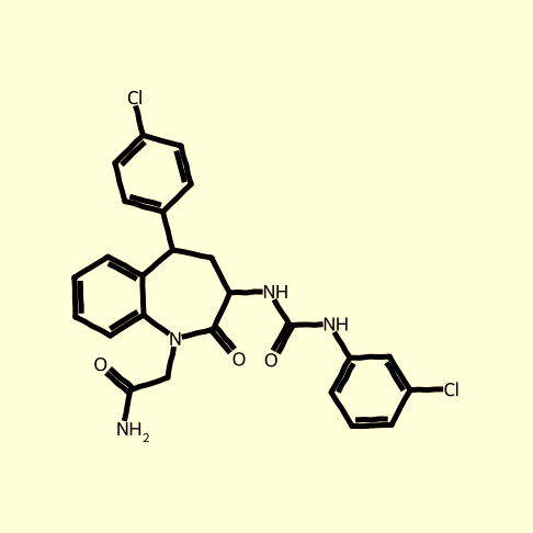 NC(=O)CN1C(=O)C(NC(=O)Nc2cccc(Cl)c2)CC(c2ccc(Cl)cc2)c2ccccc21